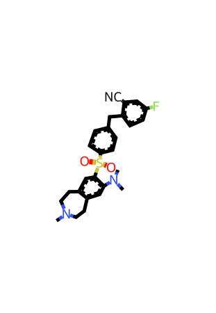 CN1CCc2cc(N(C)C)c(S(=O)(=O)c3ccc(Cc4ccc(F)cc4C#N)cc3)cc2CC1